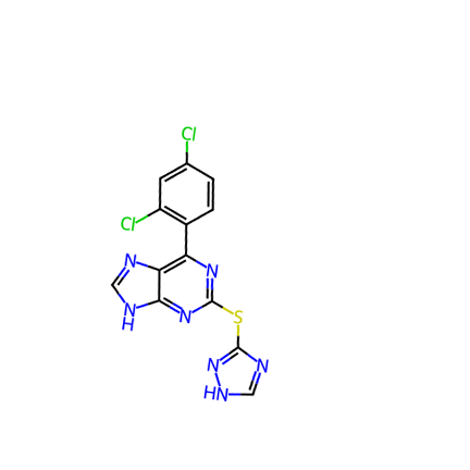 Clc1ccc(-c2nc(Sc3nc[nH]n3)nc3[nH]cnc23)c(Cl)c1